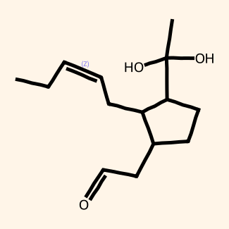 CC/C=C\CC1C(CC=O)CCC1C(C)(O)O